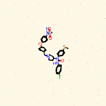 CSc1ccc(N(C(=O)Nc2ccc(F)cc2)C2CCN(Cc3ccc(Oc4ccc(NS(C)(=O)=O)cc4)cc3)CC2)cc1